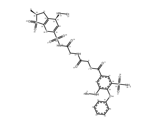 CCCCNc1cc(C(=O)OCC(=O)NCC(=O)NS(=O)(=O)C2=C[C@H](NCC)C3=C(S2)S(=O)(=O)[C@@H](C)C3)cc(S(N)(=O)=O)c1Oc1ccccc1